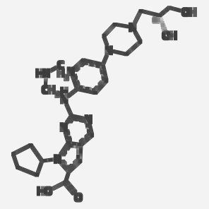 CNC.O=C(O)c1cc2cnc(Nc3ccc(N4CCN(C[C@@H](O)CO)CC4)cn3)nc2n1C1CCCC1